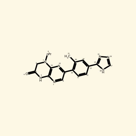 CCCN1CC(=O)Nc2ncc(-c3ccc(-c4nnc[nH]4)cc3C)nc21